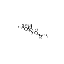 CNc1ncc2cc(-c3ccc(-c4cncc(C)n4)cc3Cl)c(=O)n(C[C@H]3CC[C@H](N)CC3)c2n1